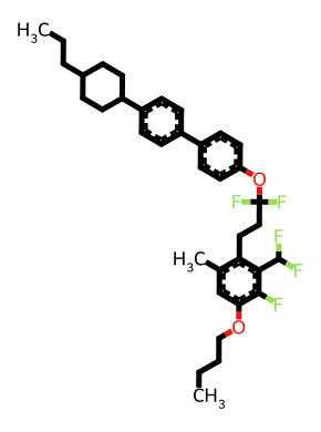 CCCCOc1cc(C)c(CCC(F)(F)Oc2ccc(-c3ccc(C4CCC(CCC)CC4)cc3)cc2)c(C(F)F)c1F